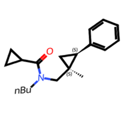 CCCCN(C[C@@]1(C)C[C@H]1c1ccccc1)C(=O)C1CC1